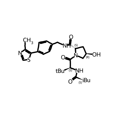 CC[C@H](C)C(=O)N[C@H](C(=O)N1C[C@H](O)C[C@H]1C(=O)NCc1ccc(-c2scnc2C)cc1)C(C)(C)C